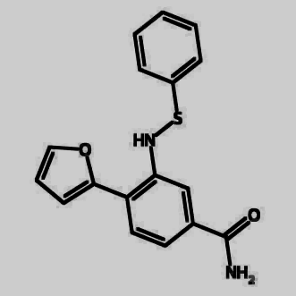 NC(=O)c1ccc(-c2ccco2)c(NSc2ccccc2)c1